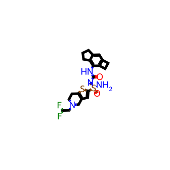 N[S@](=O)(=NC(=O)Nc1c2c(cc3c1CC3)CCC2)c1cc2c(s1)CCN(CC(F)F)C2